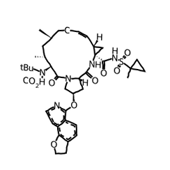 C[C@H]1CCC=C[C@@H]2C[C@@]2(C(=O)NS(=O)(=O)C2(C)CC2)NC(=O)[C@@H]2C[C@@H](Oc3nccc4c5c(ccc34)CCO5)CN2C(=O)[C@@H](N(C(=O)O)C(C)(C)C)[C@H](C)C1